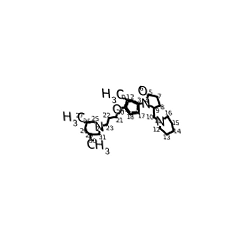 Cc1cc(N2C(=O)CCC2CN2CCCCC2)ccc1OCCCN1CC(C)CC(C)C1